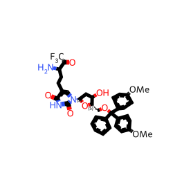 COc1ccc(C(OC[C@@H]2O[C@H](n3cc(CCC(N)C(=O)C(F)(F)F)c(=O)[nH]c3=O)CC2O)(c2ccccc2)c2ccc(OC)cc2)cc1